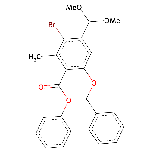 COC(OC)c1cc(OCc2ccccc2)c(C(=O)Oc2ccccc2)c(C)c1Br